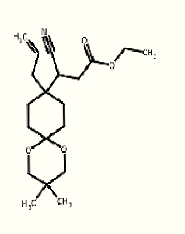 C=CCC1(C(C#N)CC(=O)OCC)CCC2(CC1)OCC(C)(C)CO2